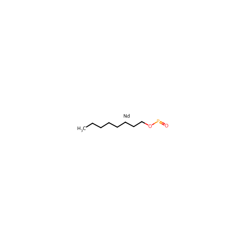 CCCCCCCCOP=O.[Nd]